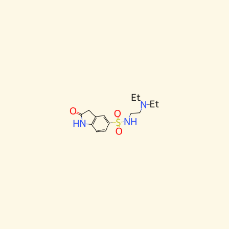 CCN(CC)CCNS(=O)(=O)c1ccc2c(c1)CC(=O)N2